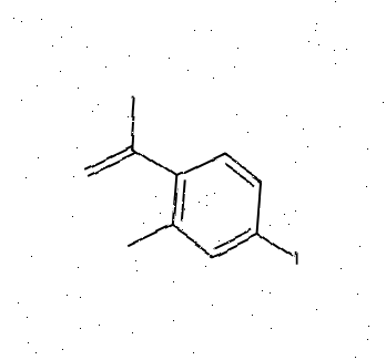 C=C(C)c1ccc(I)cc1C